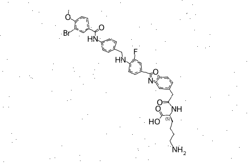 COc1ccc(C(=O)Nc2ccc(CNc3ccc(-c4nc5cc(CC(=O)N[C@@H](CCCCN)C(=O)O)ccc5o4)cc3F)cc2)cc1Br